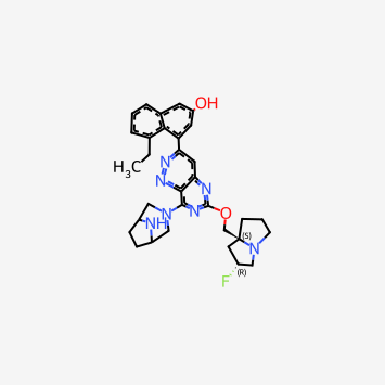 CCc1cccc2cc(O)cc(-c3cc4nc(OC[C@@]56CCCN5C[C@H](F)C6)nc(N5CC6CCC(C5)N6)c4nn3)c12